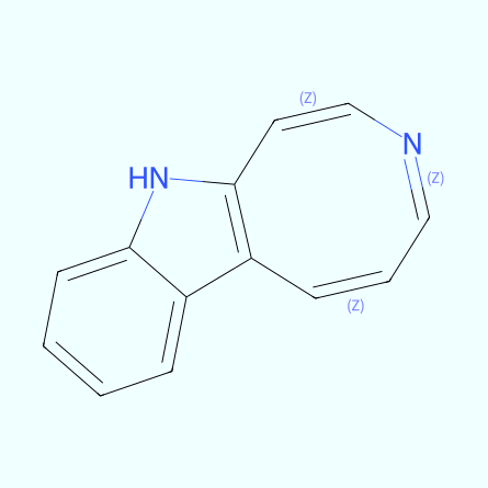 C1=C/c2c([nH]c3ccccc23)\C=C/N=C\1